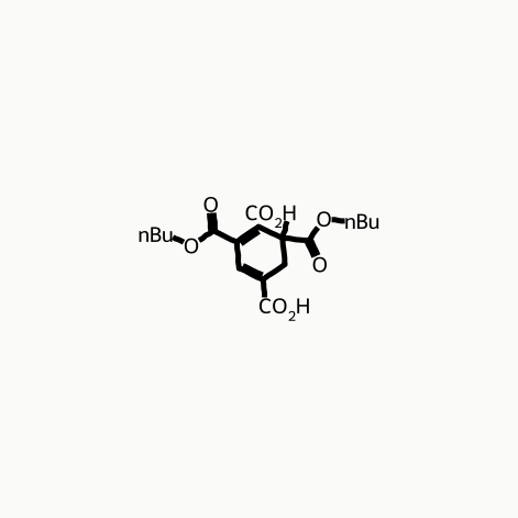 CCCCOC(=O)C1=CC(C(=O)O)(C(=O)OCCCC)CC(C(=O)O)=C1